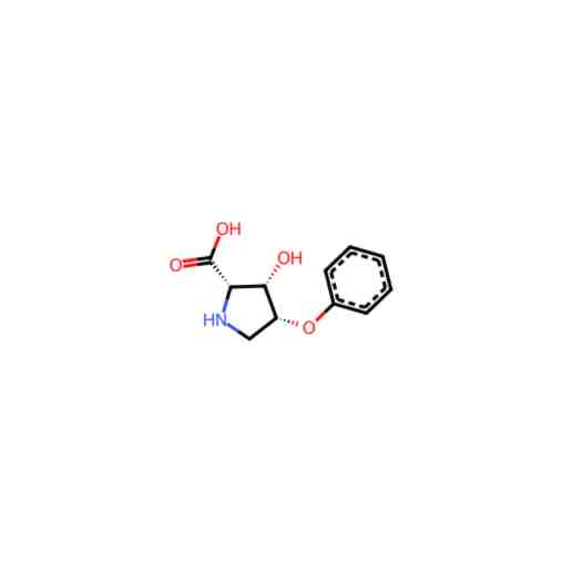 O=C(O)[C@H]1NC[C@@H](Oc2ccccc2)[C@H]1O